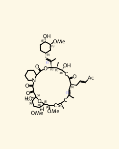 CO[C@H]1C[C@H](/C=C(\C)[C@@H]2OC(=O)C3CCCCN3C(=O)C(=O)[C@@]3(O)O[C@@H]([C@H](OC)C[C@H](C)C/C(C)=C/[C@H](CC=CC(C)=O)C(=O)C[C@@H](O)[C@@H]2C)[C@H](OC)C[C@@H]3C)CC[C@@H]1O